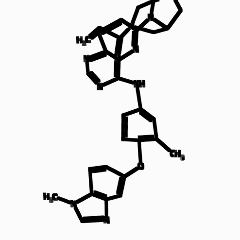 C=CC(=O)N1CC2CCC(C1)N2c1ccc2ncnc(Nc3ccc(Oc4ccc5c(c4)ncn5C)c(C)c3)c2n1